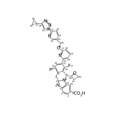 O=C(O)c1ccc2nc(Cc3cc(F)c(-c4cccc(OCc5ccc(-n6cc(C7CC7)nn6)nc5)n4)cc3F)n(CC3CCO3)c2c1